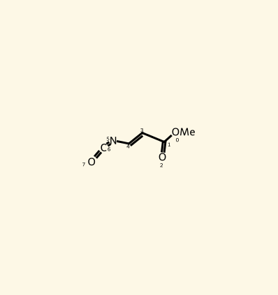 COC(=O)C=CN=C=O